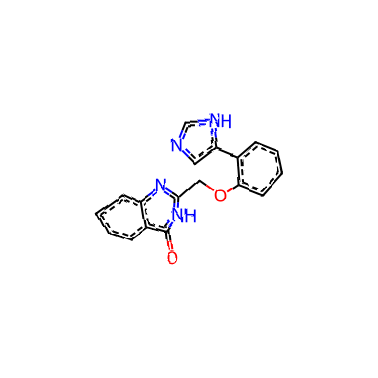 O=c1[nH]c(COc2ccccc2-c2cnc[nH]2)nc2ccccc12